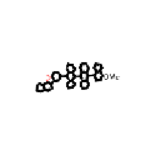 COc1ccc(-c2c3ccccc3c(-c3c4ccccc4c(-c4ccc5oc6c7ccccc7ccc6c5c4)c4ccccc34)c3ccccc23)c2ccccc12